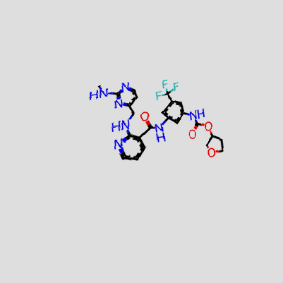 CNc1nccc(CNc2ncccc2C(=O)Nc2cc(NC(=O)OC3CCOC3)cc(C(F)(F)F)c2)n1